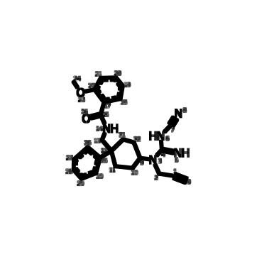 C#CCN(C(=N)NC#N)C1CCC(CNC(=O)c2ccccc2OC)(c2ccccc2)CC1